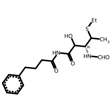 CCSC(C)[C@H](NC=O)C(O)C(=O)NC(=O)CCCc1ccccc1